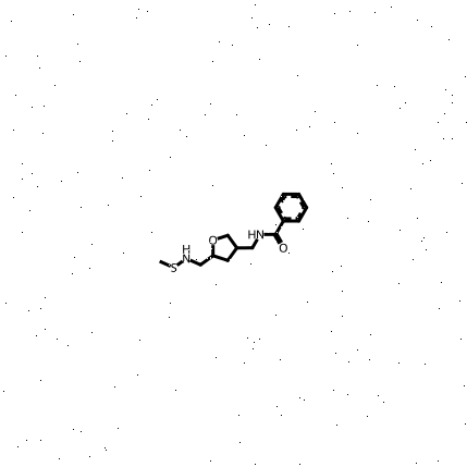 CSNCC1CC(CNC(=O)c2ccccc2)CO1